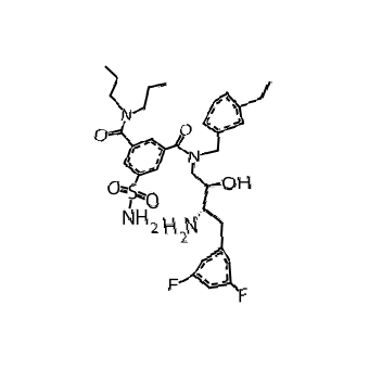 CCCN(CCC)C(=O)c1cc(C(=O)N(Cc2cccc(CC)c2)C[C@@H](O)[C@@H](N)Cc2cc(F)cc(F)c2)cc(S(N)(=O)=O)c1